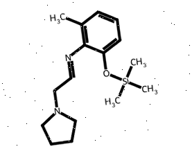 Cc1cccc(O[Si](C)(C)C)c1N=CCN1CCCC1